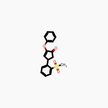 CS(=O)(=O)c1ccccc1C1C=C(Oc2ccccc2)C(=O)C1